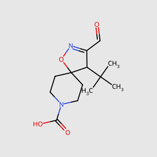 CC(C)(C)C1C(C=O)=NOC12CCN(C(=O)O)CC2